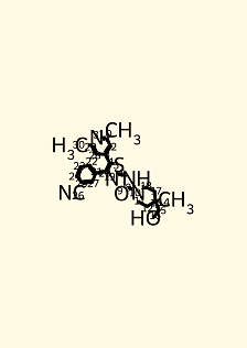 Cc1cc(-c2sc(NC(=O)N3CCC(C)(CO)CC3)nc2-c2cccc(C#N)c2)cc(C)n1